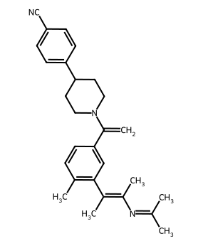 C=C(c1ccc(C)c(/C(C)=C(\C)N=C(C)C)c1)N1CCC(c2ccc(C#N)cc2)CC1